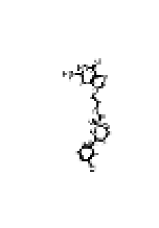 Nc1nc2c(ncn2CCOCP2(=O)OCCC(c3cccc(Cl)c3)O2)c(=O)[nH]1